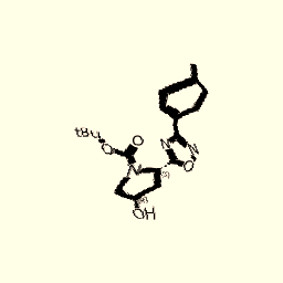 Cc1ccc(-c2noc([C@@H]3C[C@@H](O)CN3C(=O)OC(C)(C)C)n2)cc1